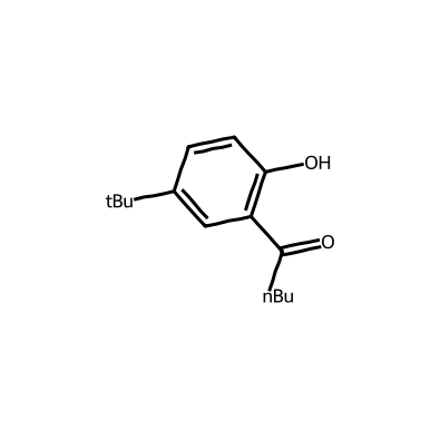 CCCCC(=O)c1cc(C(C)(C)C)ccc1O